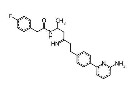 CC(CC(=N)CCc1ccc(-c2cccc(N)n2)cc1)NC(=O)Cc1ccc(F)cc1